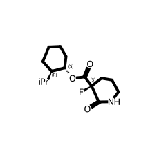 CC(C)[C@H]1CCCC[C@@H]1OC(=O)[C@]1(F)CCCNC1=O